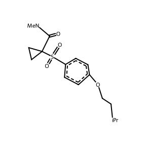 CNC(=O)C1(S(=O)(=O)c2ccc(OCCC(C)C)cc2)CC1